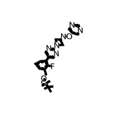 CC(C)(C)[Si](C)(C)OCc1cccc(-c2cnc(N3CC(=NOc4cncnc4)C3)nc2)c1F